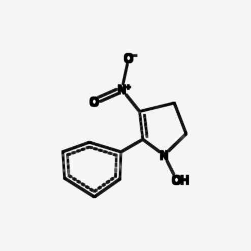 O=[N+]([O-])C1=C(c2ccccc2)N(O)CC1